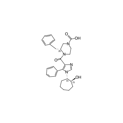 O=C(O)N1CCN(C(=O)c2ncn([C@H]3CCCCC[C@@H]3O)c2-c2ccccc2)[C@H](Cc2ccccc2)C1